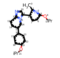 Cc1nc(OC(C)C)ccc1-c1cnc2ccc(-c3ccc(OC(C)C)cc3)cn12